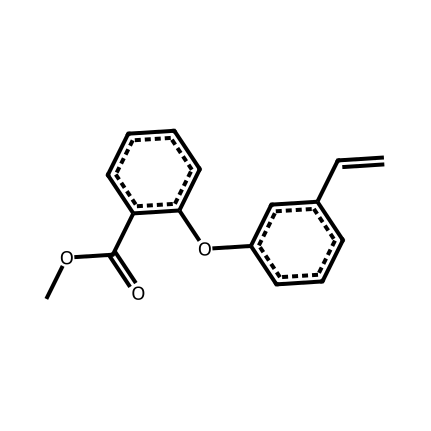 C=Cc1cccc(Oc2ccccc2C(=O)OC)c1